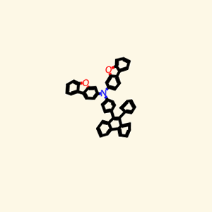 c1ccc(-c2c(-c3ccc(N(c4ccc5c(c4)oc4ccccc45)c4ccc5c(c4)oc4ccccc45)cc3)c3ccccc3c3ccccc23)cc1